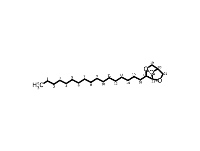 CCCCCCCCCCCCCCCCCC1OCC2COC1O2